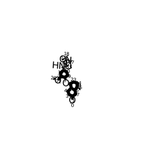 COc1ccc2c(Oc3ccc(NS(=O)(=O)N(C)C)cc3OC)ccnc2c1